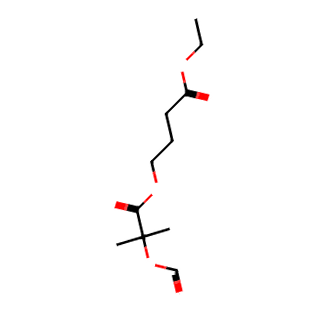 CCOC(=O)CCCOC(=O)C(C)(C)O[C]=O